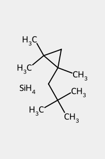 CC(C)(C)CC1(C)CC1(C)C.[SiH4]